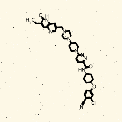 CCc1cc2ncc(CN3CCN(C4CCN(c5ccc(C(=O)N[C@H]6CC[C@H](Oc7ccc(C#N)c(Cl)c7)CC6)nn5)CC4)CC3)cc2[nH]c1=O